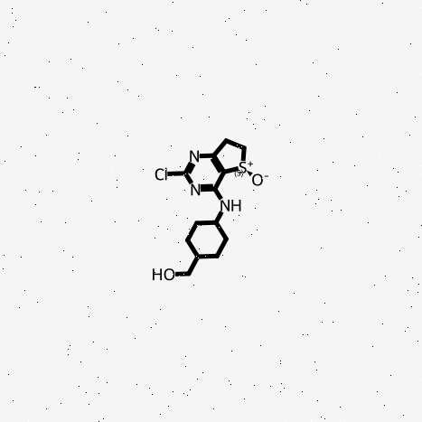 [O-][S@+]1CCc2nc(Cl)nc(NC3CCC(CO)CC3)c21